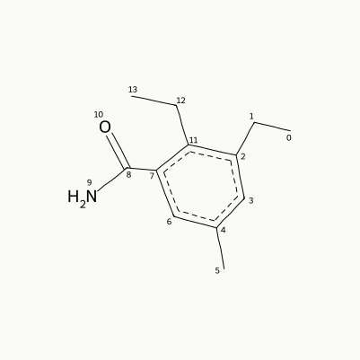 CCc1cc(C)cc(C(N)=O)c1CC